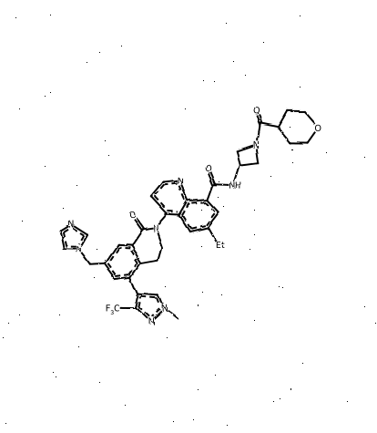 CCc1cc(C(=O)NC2CN(C(=O)C3CCOCC3)C2)c2nccc(N3CCc4c(cc(Cn5ccnc5)cc4-c4cn(C)nc4C(F)(F)F)C3=O)c2c1